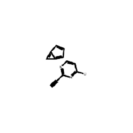 C#Cc1nccc(Cl)n1.c1cc2cc-2c1